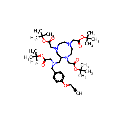 C#CCOc1ccc(CN(CC(=O)OC(C)(C)C)CC2CN(CC(=O)OC(C)(C)C)CCN(CC(=O)OC(C)(C)C)CCN2CC(=O)OC(C)(C)C)cc1